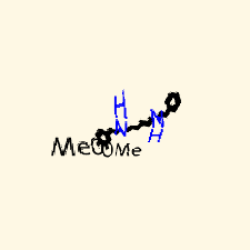 COc1ccc(CCNCCCCCCNCCc2ccccc2)cc1OC